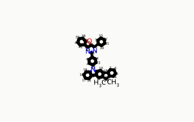 CC1(C)c2ccccc2-c2cc3c(cc21)c1ccccc1n3-c1ccc(-c2nc(-c3ccccc3)c3oc4ccccc4c3n2)cc1